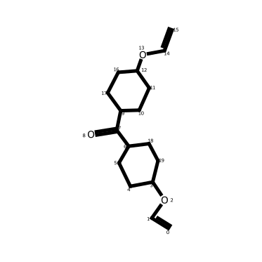 C=COC1CCC(C(=O)C2CCC(OC=C)CC2)CC1